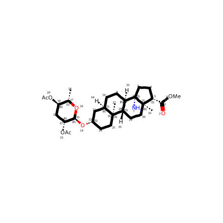 COC(=O)[C@H]1CC[C@]2(N)[C@@H]3CC[C@@H]4C[C@@H](O[C@@H]5O[C@@H](C)[C@H](OC(C)=O)C[C@H]5OC(C)=O)CC[C@]4(C)[C@H]3CC[C@]12C